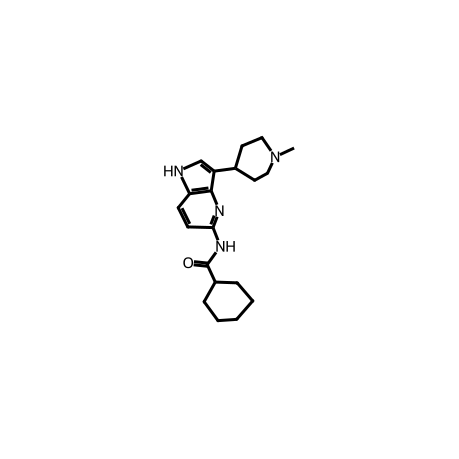 CN1CCC(c2c[nH]c3ccc(NC(=O)C4CCCCC4)nc23)CC1